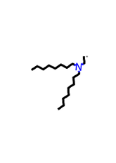 [CH2]CN(CCCCCCCC)CCCCCCCC